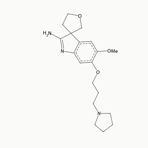 COc1cc2c(cc1OCCCN1CCCC1)N=C(N)C21CCOC1